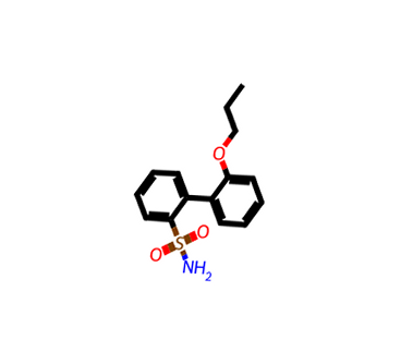 CCCOc1ccccc1-c1ccccc1S(N)(=O)=O